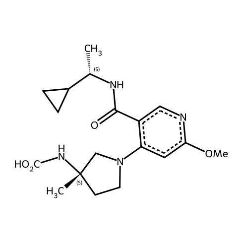 COc1cc(N2CC[C@](C)(NC(=O)O)C2)c(C(=O)N[C@@H](C)C2CC2)cn1